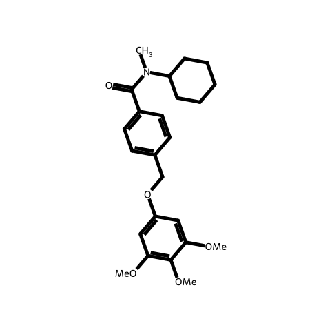 COc1cc(OCc2ccc(C(=O)N(C)C3CCCCC3)cc2)cc(OC)c1OC